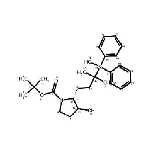 CC(C)(C)OC(=O)N1CC[C@H](O)[C@H]1CCC(C)(C)[Si](O)(c1ccccc1)c1ccccc1